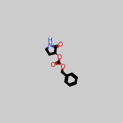 O=C(OCc1ccccc1)O[C@H]1CCNC1=O